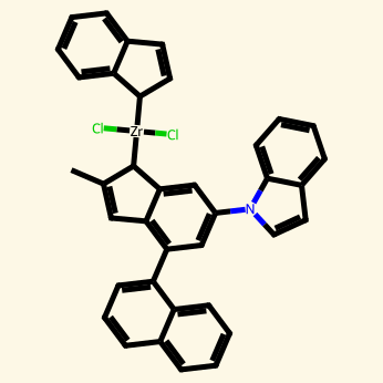 CC1=Cc2c(-c3cccc4ccccc34)cc(-n3ccc4ccccc43)cc2[CH]1[Zr]([Cl])([Cl])[CH]1C=Cc2ccccc21